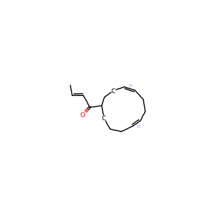 CC=CC(=O)C1CC/C=C\CC/C=C\CCC1